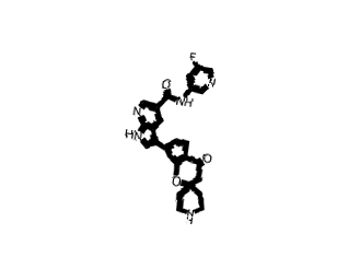 O=C(Nc1cncc(F)c1)c1cnc2[nH]cc(-c3ccc4c(c3)OC3(CCNCC3)CC4=O)c2c1